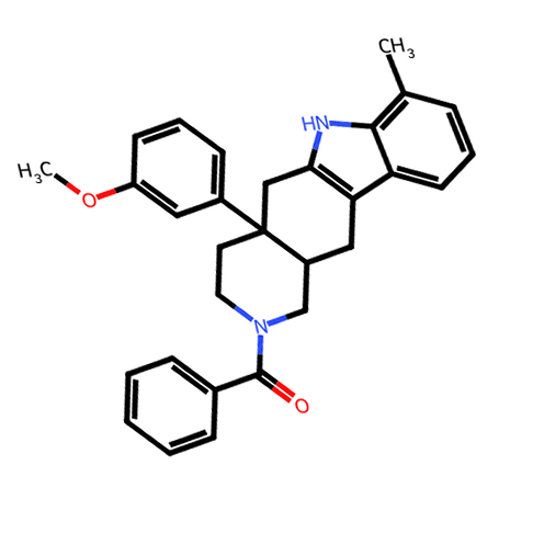 COc1cccc(C23CCN(C(=O)c4ccccc4)CC2Cc2c([nH]c4c(C)cccc24)C3)c1